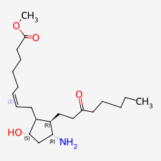 CCCCCC(=O)CC[C@@H]1C(C/C=C\CCCCC(=O)OC)[C@@H](O)C[C@H]1N